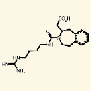 N=C(N)NCCCCNC(=O)N1CCc2ccccc2CC1CC(=O)O